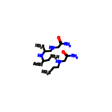 CC(=O)NC(CS(=O)(=O)O)NC(CNCC(N)=O)S(=O)(=O)O.NC(=O)CNCCS(=O)(=O)O